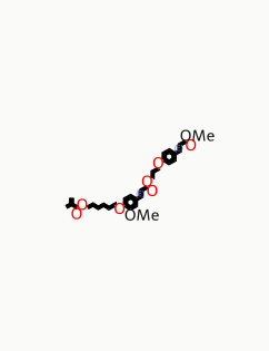 C=C(C)C(=O)OCCCCCCOc1ccc(/C=C/C(=O)OCCCOc2ccc(/C=C/C(=O)OC)cc2)cc1OC